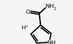 NC(=O)c1cc[nH]c1.[H+]